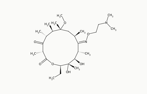 CC[C@H]1OC(=O)[C@H](C)C(=O)[C@H](C)[C@@H](C)[C@](C)(OC)C[C@@H](C)/C(=N\OCCN(C)C)[C@H](C)[C@@H](O)[C@]1(C)O